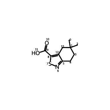 CC1(C)CCc2nsc(C(=O)O)c2C1